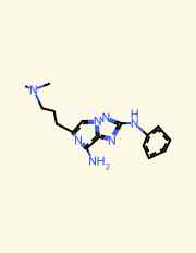 CN(C)CCCc1cn2nc(Nc3ccccc3)nc2c(N)n1